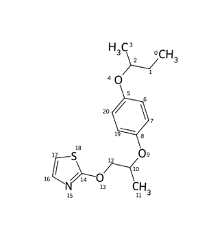 CCC(C)Oc1ccc(OC(C)COc2nccs2)cc1